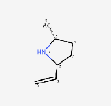 C=C[C@@H]1CC[C@@H](C(C)=O)N1